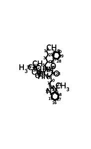 CCCCCCCC(N[C@@H](CCc1nc2ccccc2n1C)C(=O)NOCc1ccccc1)C(=O)OC(C)(C)C